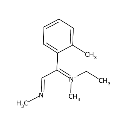 CC[N+](C)=C(C=NC)c1ccccc1C